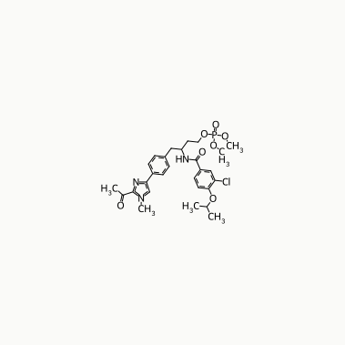 COP(=O)(OC)OCCC(Cc1ccc(-c2cn(C)c(C(C)=O)n2)cc1)NC(=O)c1ccc(OC(C)C)c(Cl)c1